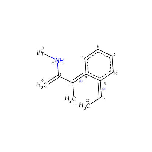 C=C(NC(C)C)/C(C)=c1\cccc\c1=C\C